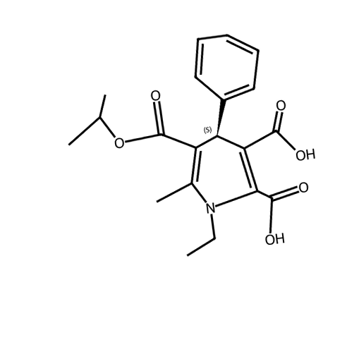 CCN1C(C)=C(C(=O)OC(C)C)[C@@H](c2ccccc2)C(C(=O)O)=C1C(=O)O